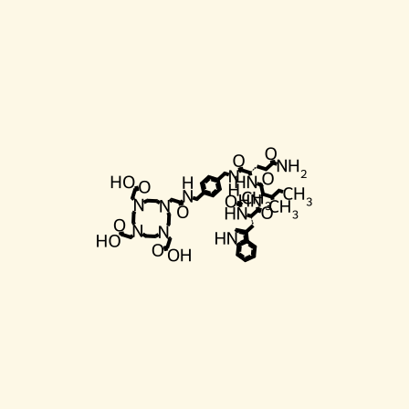 CCC(C)[C@H](NC(=O)[C@H](Cc1c[nH]c2ccccc12)NC(C)=O)C(=O)N[C@@H](CCC(N)=O)C(=O)NCc1ccc(CNC(=O)CN2CCN(CC(=O)O)CCN(CC(=O)O)CCN(CC(=O)O)CC2)cc1